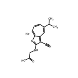 CC(C)c1cccc2nc(NCC(=O)O)c(C#N)c-2c1.[Na]